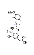 CC[C@@H](NC(=O)/C(C)=C/c1c(C)ccc(OC)c1C)c1ccc(CC(O)O)cc1Cl